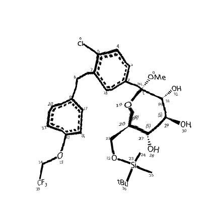 CO[C@@]1(c2ccc(Cl)c(Cc3ccc(OCC(F)(F)F)cc3)c2)O[C@H](CO[Si](C)(C)C(C)(C)C)[C@@H](O)[C@H](O)[C@H]1O